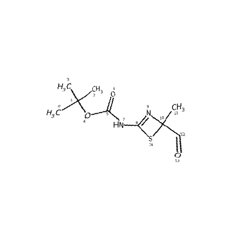 CC(C)(C)OC(=O)NC1=NC(C)(C=O)S1